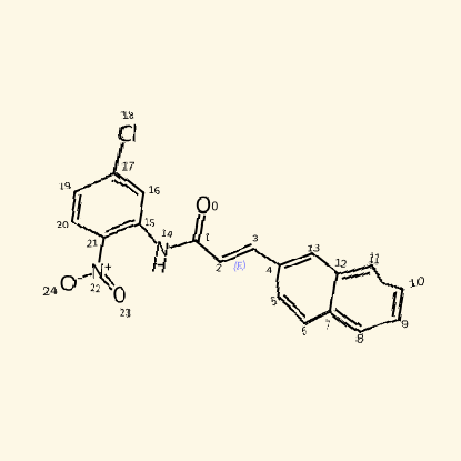 O=C(/C=C/c1ccc2ccccc2c1)Nc1cc(Cl)ccc1[N+](=O)[O-]